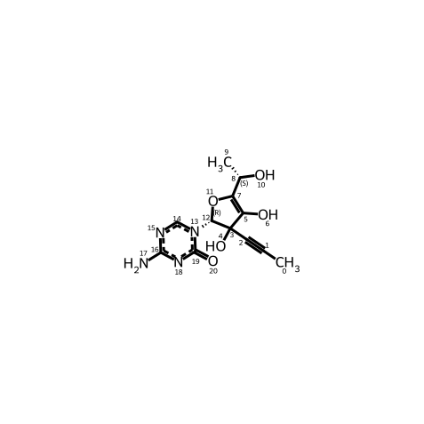 CC#CC1(O)C(O)=C([C@H](C)O)O[C@H]1n1cnc(N)nc1=O